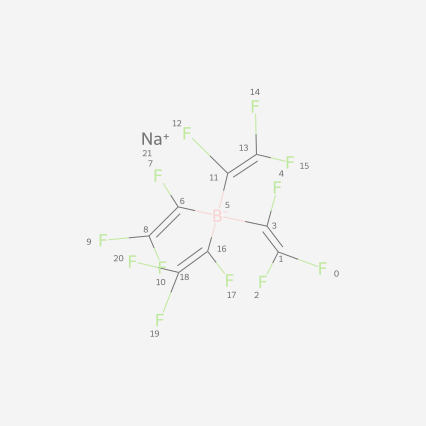 FC(F)=C(F)[B-](C(F)=C(F)F)(C(F)=C(F)F)C(F)=C(F)F.[Na+]